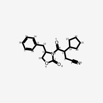 N#CCC(C(=O)N1C(=O)OCC1Cc1ccccc1)C1CCCC1